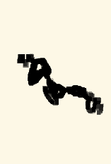 C[n+]1ccn([C@H]2CCN(c3ccc(N)cc3)C2)c1.[Cl-]